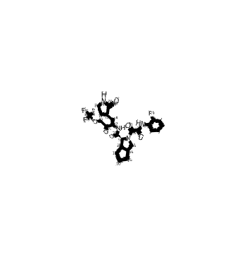 O=C(Nc1ccccc1F)C(=O)N1CC2CCCC2[C@H]1C(=O)NC(CC1CCNC1=O)C(=O)COC(F)(F)F